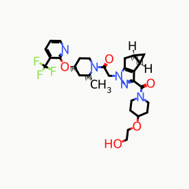 C[C@@H]1C[C@H](Oc2ncccc2C(F)(F)F)CCN1C(=O)Cn1nc(C(=O)N2CCC(OCCO)CC2)c2c1C[C@H]1C[C@@H]21